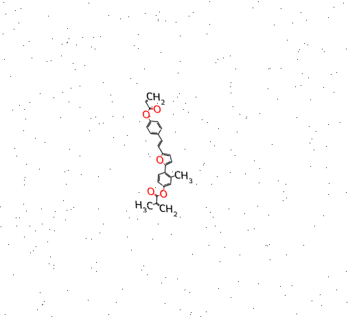 C=CC(=O)Oc1ccc(/C=C/c2ccc(-c3ccc(OC(=O)C(=C)C)cc3C)o2)cc1